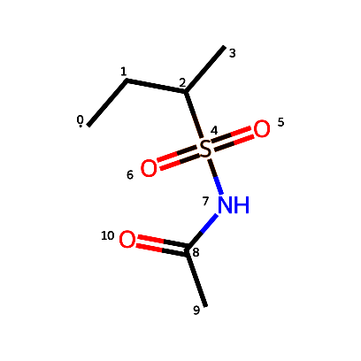 [CH2]CC(C)S(=O)(=O)NC(C)=O